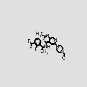 Cc1nc(NC(C)c2cccc(C(F)F)c2F)c2cc(N3CCN(C=O)CC3)ncc2n1